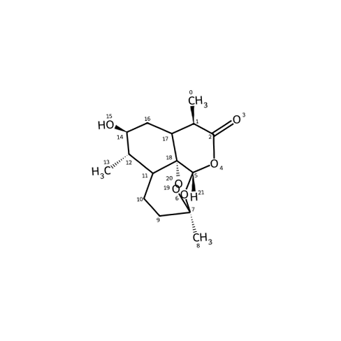 C[C@H]1C(=O)O[C@@H]2O[C@]3(C)CCC4[C@H](C)[C@@H](O)CC1[C@]42OO3